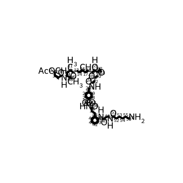 CC(=O)O[C@@H](C)/C=C\C(=O)N[C@@H]1C[C@H](C)[C@H](C/C=C(C)/C=C/[C@H]2O[C@H](CC(=O)NCc3ccc(S(=O)(=O)NC(=O)CCc4ccccc4NC(=O)CNC(=O)CCCCCN)cc3)C[C@@]3(CO3)[C@@H]2O)O[C@@H]1C